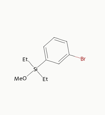 CC[Si](CC)(OC)c1cccc(Br)c1